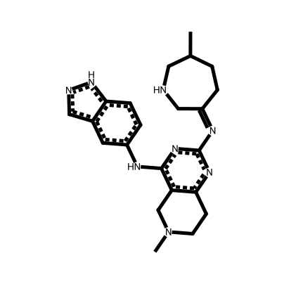 CC1CC/C(=N/c2nc3c(c(Nc4ccc5[nH]ncc5c4)n2)CN(C)CC3)CNC1